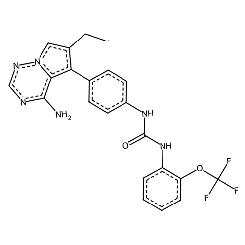 [CH2]Cc1cn2ncnc(N)c2c1-c1ccc(NC(=O)Nc2ccccc2OC(F)(F)F)cc1